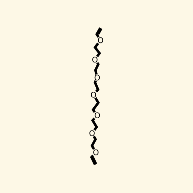 C=COCCOCCOCCOCCOCCOCCOC=C